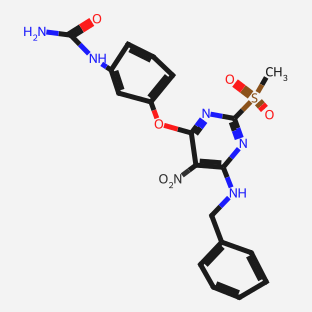 CS(=O)(=O)c1nc(NCc2ccccc2)c([N+](=O)[O-])c(Oc2cccc(NC(N)=O)c2)n1